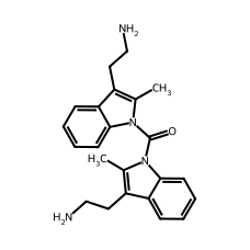 Cc1c(CCN)c2ccccc2n1C(=O)n1c(C)c(CCN)c2ccccc21